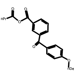 CCCCCCCCCCOc1ccc(C(=O)c2cccc(C(=O)OC(=O)CCC)c2)cc1